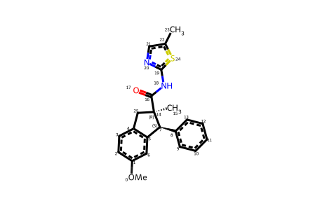 COc1ccc2c(c1)[C@H](c1ccccc1)[C@](C)(C(=O)Nc1ncc(C)s1)C2